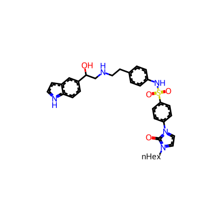 CCCCCCn1ccn(-c2ccc(S(=O)(=O)Nc3ccc(CCNCC(O)c4ccc5[nH]ccc5c4)cc3)cc2)c1=O